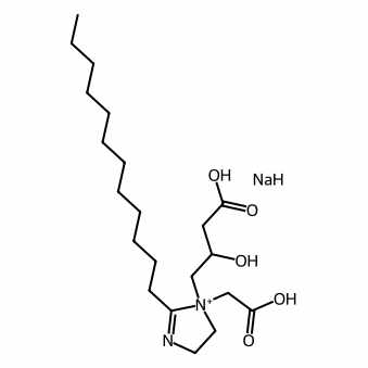 CCCCCCCCCCCCC1=NCC[N+]1(CC(=O)O)CC(O)CC(=O)O.[NaH]